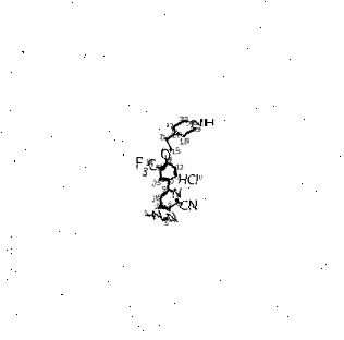 Cl.Cn1cnc2c(C#N)nc(-c3ccc(OCCC4CCNCC4)c(C(F)(F)F)c3)cc21